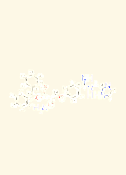 N=C(NCc1ncc[nH]1)c1ccc(OC[C@@H](ON)C(=O)OC(c2ccccc2)c2ccccc2)cc1